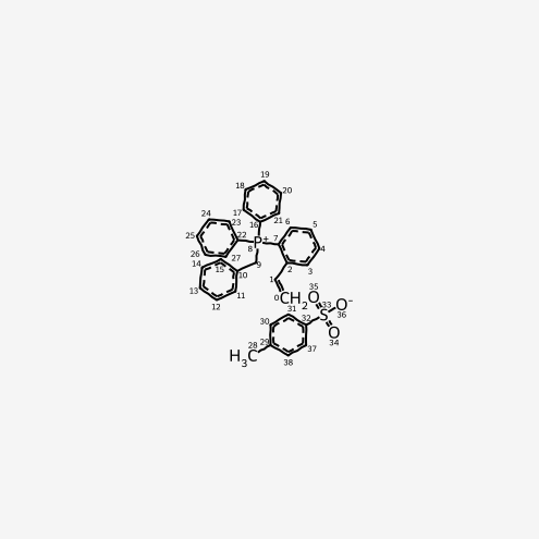 C=Cc1ccccc1[P+](Cc1ccccc1)(c1ccccc1)c1ccccc1.Cc1ccc(S(=O)(=O)[O-])cc1